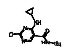 CC(C)(C)NC(=O)c1cnc(Cl)nc1NC1CC1